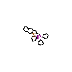 c1ccc([PH](Cc2cc3cc4ccccc4cc3s2)(c2ccccc2)c2ccccc2)cc1